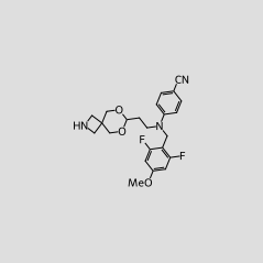 COc1cc(F)c(CN(CCC2OCC3(CNC3)CO2)c2ccc(C#N)cc2)c(F)c1